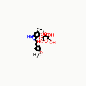 COc1ccc(CCc2n[nH]c3cc(C)cc(O[C@]4(O)[C@@H](O)O[C@H](CO)[C@@H](O)[C@@H]4O)c23)cc1